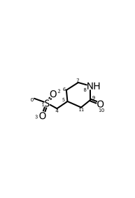 CS(=O)(=O)CC1CCNC(=O)C1